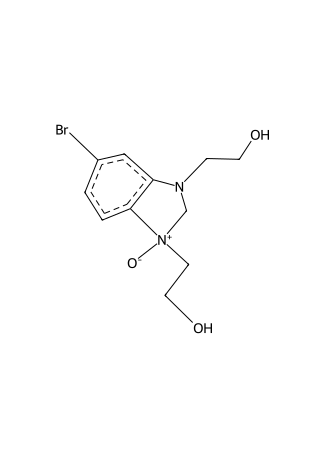 [O-][N+]1(CCO)CN(CCO)c2cc(Br)ccc21